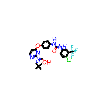 CC(C)(C)CN(CO)c1nccc(Oc2ccc(NC(=O)Nc3ccc(Cl)c(C(F)(F)F)c3)cc2)n1